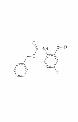 CCOc1cc(F)ccc1NC(=O)OCc1ccccc1